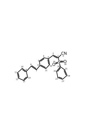 N#CC(=Cc1ccc(C=Cc2ccccc2)cc1)S(=O)(=O)c1ccccc1